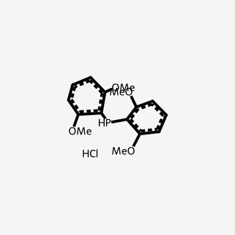 COc1cccc(OC)c1Pc1c(OC)cccc1OC.Cl